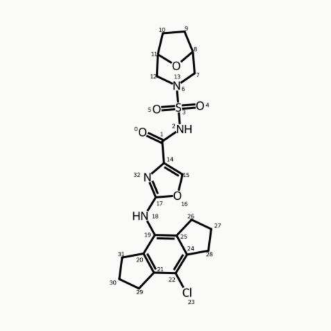 O=C(NS(=O)(=O)N1CC2CCC(C1)O2)c1coc(Nc2c3c(c(Cl)c4c2CCC4)CCC3)n1